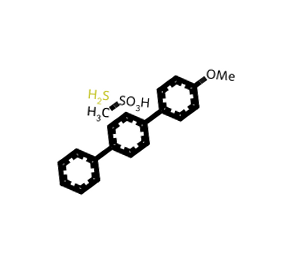 COc1ccc(-c2ccc(-c3ccccc3)cc2)cc1.CS(=O)(=O)O.S